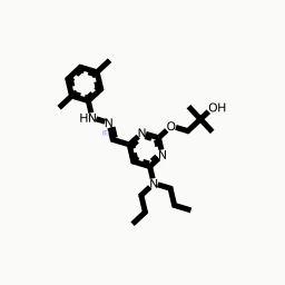 CCCN(CCC)c1cc(/C=N/Nc2cc(C)ccc2C)nc(OCC(C)(C)O)n1